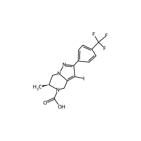 C[C@H]1Cn2nc(-c3ccc(C(F)(F)F)cc3)c(I)c2CN1C(=O)O